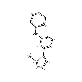 CCCn1cncc1-c1ccnc(Nc2ccccc2)n1